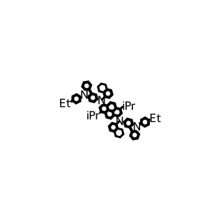 CCc1ccc(-n2c3ccccc3c3cc(N(c4cccc5c4CCCC5)c4cc(C(C)C)c5ccc6c(N(c7ccc8c(c7)c7ccccc7n8-c7ccc(CC)cc7)c7cccc8c7CCCC8)cc(C(C)C)c7ccc4c5c76)ccc32)cc1